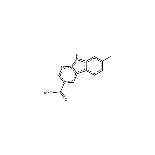 COC(=O)c1cnc2[nH]c3cc(C)ccc3c2c1